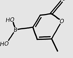 Cc1cc(B(O)O)cc(=O)o1